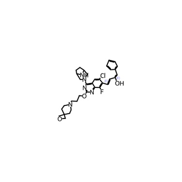 OC(/C=C/c1c(Cl)cc2c(N3CC4CCC(C3)N4)nc(OCCCN3CCC4(CC3)COC4)nc2c1F)=C/c1ccccc1